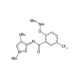 CCCCc1cn(C(C)(C)C)s/c1=N\C(=O)c1cc(C(F)(F)F)ccc1ONC(C)(C)C